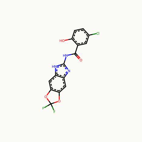 O=C(Nc1nc2cc3c(cc2[nH]1)OC(F)(F)O3)c1cc(Cl)ccc1O